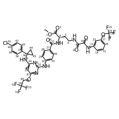 COC(=O)[C@@H](CCNC(=O)C(=O)Nc1cccc(OC(F)(F)F)c1)NC(=O)c1ccc(Nc2nc(NC3(c4ccc(Cl)cc4)CC3)nc(OCC(F)(F)F)n2)cc1